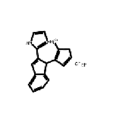 [Cl-].[Cl-].[Hf+2][C]1=C(C2C(c3[nH]ccp3)=Cc3ccccc32)C=CC1